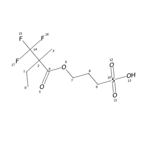 CCC(C)(C(=O)OCCCS(=O)(=O)O)C(F)(F)F